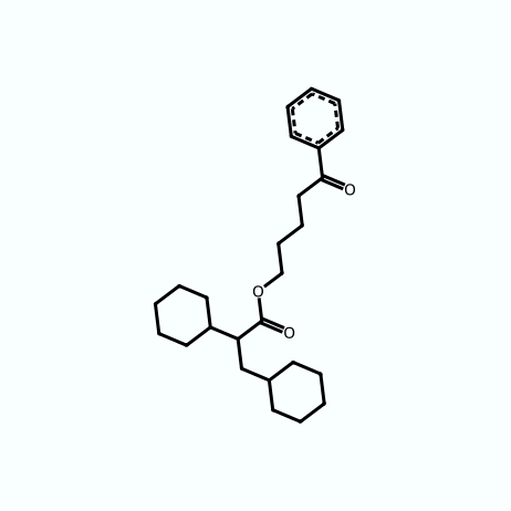 O=C(CCCCOC(=O)C(CC1CCCCC1)C1CCCCC1)c1ccccc1